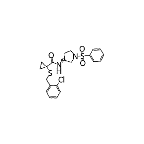 O=C(N[C@@H]1CCN(S(=O)(=O)c2ccccc2)C1)C1(SCc2ccccc2Cl)CC1